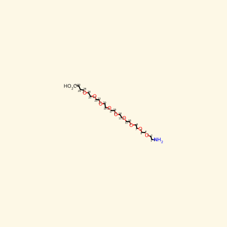 NCCOCCOCCOCCOCCOCCOCCOCCOCCOCCCC(=O)O